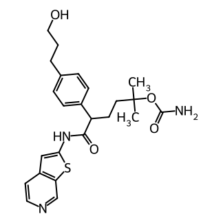 CC(C)(CCC(C(=O)Nc1cc2ccncc2s1)c1ccc(CCCO)cc1)OC(N)=O